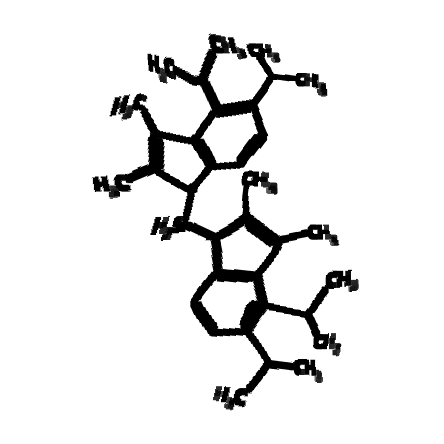 CC1=C(C)c2c(ccc(C(C)C)c2C(C)C)[C]1[SiH2][C]1C(C)=C(C)c2c1ccc(C(C)C)c2C(C)C